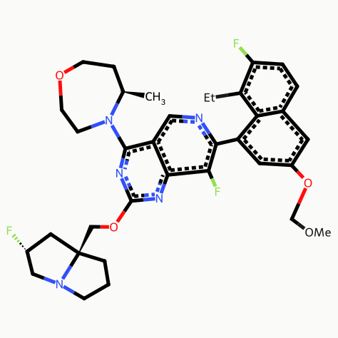 CCc1c(F)ccc2cc(OCOC)cc(-c3ncc4c(N5CCOCC[C@H]5C)nc(OC[C@@]56CCCN5C[C@H](F)C6)nc4c3F)c12